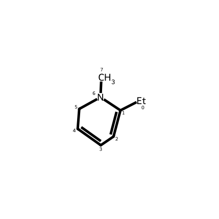 CCC1=CC=CCN1C